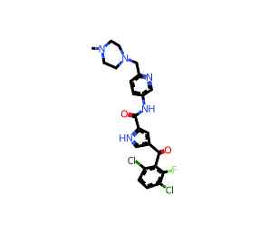 CN1CCN(Cc2ccc(NC(=O)c3cc(C(=O)c4c(Cl)ccc(Cl)c4F)c[nH]3)cn2)CC1